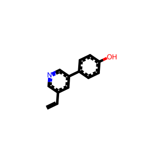 C=Cc1cncc(-c2ccc(O)cc2)c1